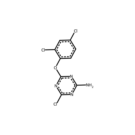 Nc1nc(Cl)nc(Oc2ccc(Cl)cc2Cl)n1